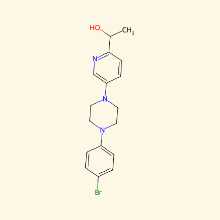 CC(O)c1ccc(N2CCN(c3ccc(Br)cc3)CC2)cn1